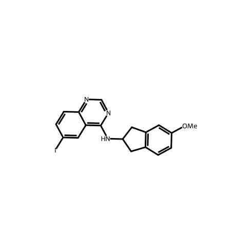 COc1ccc2c(c1)CC(Nc1ncnc3ccc(I)cc13)C2